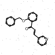 O=C(/C=C/c1cccnc1)c1ccccc1OCc1ccccc1